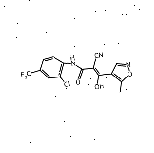 Cc1oncc1/C(O)=C(\C#N)C(=O)Nc1ccc(C(F)(F)F)cc1Cl